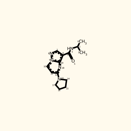 CC(C)NC(=O)c1cnn2ccc(N3CCCC3)nc12